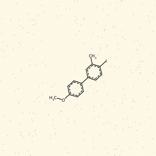 COc1ccc(-c2ccc(I)c(C)c2)cc1